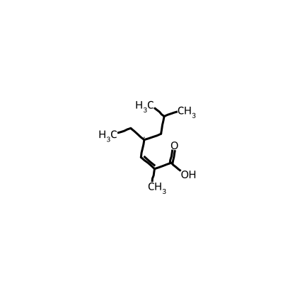 CC[C](C=C(C)C(=O)O)CC(C)C